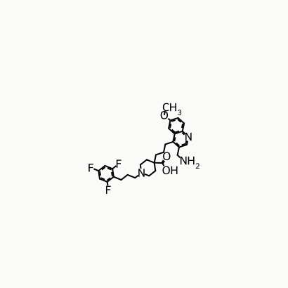 COc1ccc2ncc(CN)c(CCCC3(C(=O)O)CCN(CCCc4c(F)cc(F)cc4F)CC3)c2c1